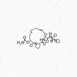 NC(=O)OC1CCCCC/C=C/C2CC2(C(=O)NS(=O)(=O)N2CCC2)NC(=O)C2CCCN2C1=O